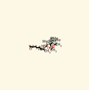 CO[Si](CC[Si](C)(O[SiH2]C)O[SiH](C)O[SiH](C)CCCCC1CO1)(OC)OC